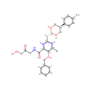 COCC(=O)CNC(=O)c1nc(C[C@H]2OC[C@H](c3ccc(F)cc3)CO2)nc(C)c1OCc1ccccc1